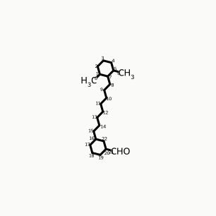 CC1CCCC(C)C1CCCCCCCCC1CCCC(C=O)C1